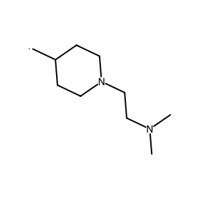 [CH2]C1CCN(CCN(C)C)CC1